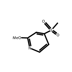 COc1cc(S(C)(=O)=O)ccn1